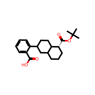 CC(C)(C)OC(=O)[C@@H]1CCCC2CC(c3ccccc3C(=O)O)CCC21